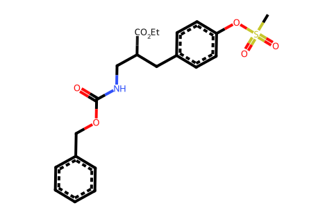 CCOC(=O)C(CNC(=O)OCc1ccccc1)Cc1ccc(OS(C)(=O)=O)cc1